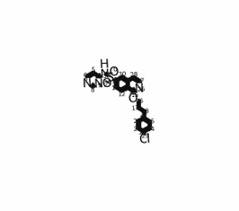 O=S(=O)(Nc1ccncn1)c1ccc2c(OCCCc3ccc(Cl)cc3)nccc2c1